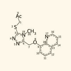 CC(=O)CSc1nnc(COc2cccc3cccnc23)n1C